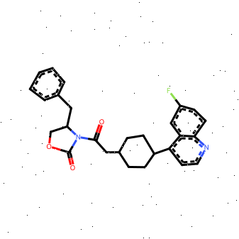 O=C(CC1CCC(c2ccnc3ccc(F)cc23)CC1)N1C(=O)OCC1Cc1ccccc1